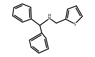 c1ccc(C(NCc2cccs2)c2ccccc2)cc1